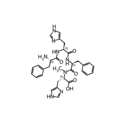 CN(C(=O)[C@H](Cc1ccccc1)NC(=O)[C@H](Cc1c[nH]cn1)NC(=O)[C@@H](N)Cc1ccccc1)[C@@H](Cc1c[nH]cn1)C(=O)O